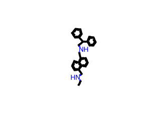 CCNCc1cccc2c(CNCC(c3ccccc3)c3ccccc3)cccc12